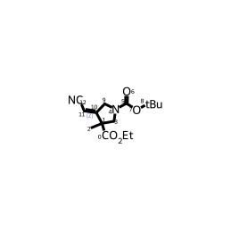 CCOC(=O)C1(C)CN(C(=O)OC(C)(C)C)C/C1=C\C#N